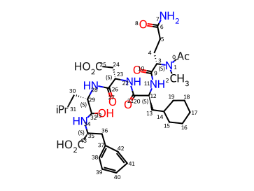 CC(=O)N(C)[C@@H](CCC(N)=O)C(=O)N[C@@H](CC1CCCCC1)C(=O)N[C@@H](CC(=O)O)C(=O)N[C@@H](CC(C)C)C(O)N[C@@H](Cc1ccccc1)C(=O)O